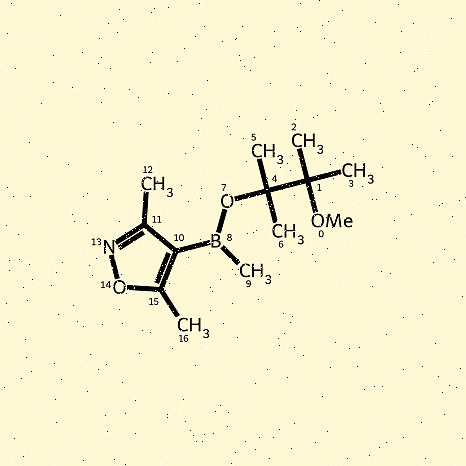 COC(C)(C)C(C)(C)OB(C)c1c(C)noc1C